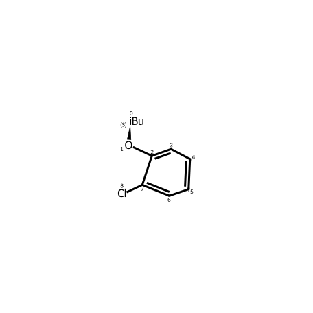 CC[C@H](C)Oc1cc[c]cc1Cl